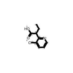 CCC(C(=O)O)c1ncccc1Cl